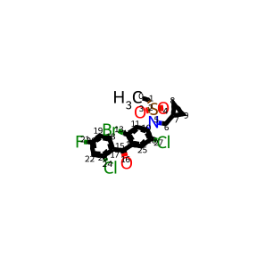 CCS(=O)(=O)N(CC1CC1)c1cc(Br)c(C(=O)c2ccc(F)cc2Cl)cc1Cl